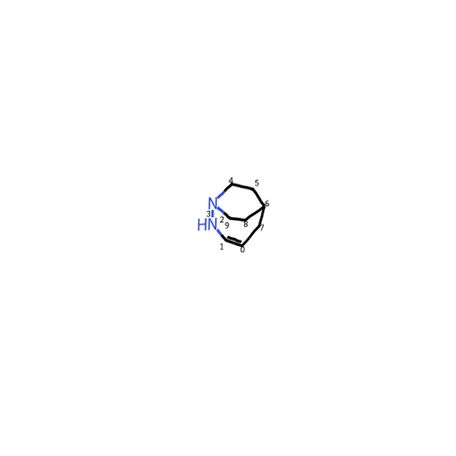 C1=C\NN2CCC(C/1)CC2